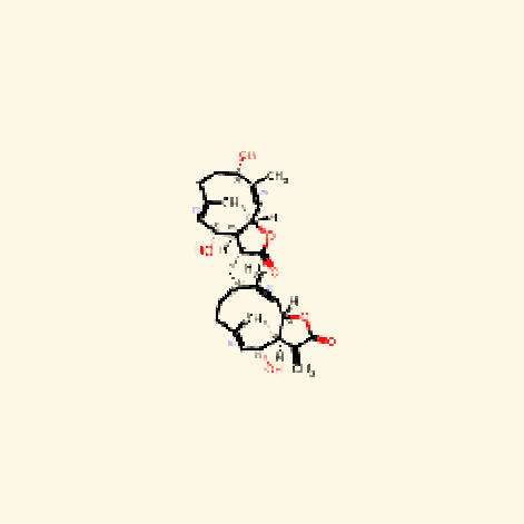 C=C1C(=O)O[C@H]2/C=C(/C)[C@@H](C[C@H]3C(=O)O[C@H]4/C=C(/C)[C@@H](O)CC/C(C)=C/[C@@H](O)[C@@H]43)CC/C(C)=C/[C@@H](O)[C@H]12